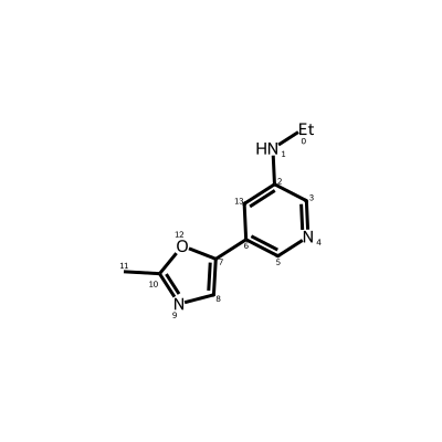 CCNc1cncc(-c2cnc(C)o2)c1